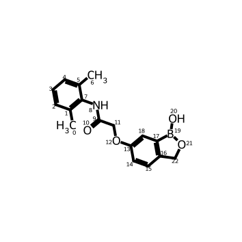 Cc1cccc(C)c1NC(=O)COc1ccc2c(c1)B(O)OC2